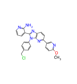 COc1ccc(-c2ccc3nc(-c4cccnc4N)n(-c4ccc(CCl)cc4)c3n2)cn1